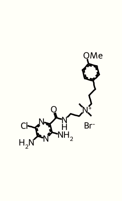 COc1ccc(CCC[N+](C)(C)CCNC(=O)c2nc(Cl)c(N)nc2N)cc1.[Br-]